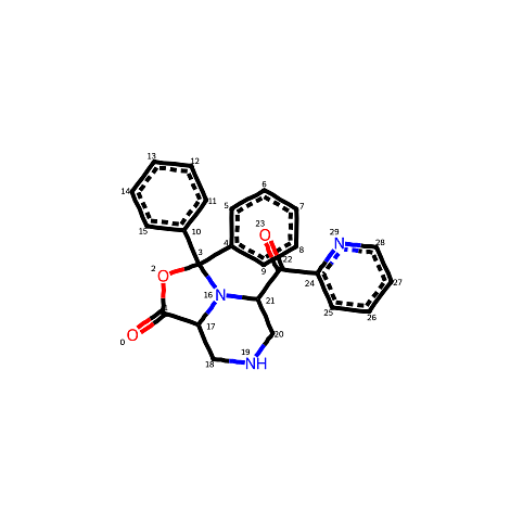 O=C1OC(c2ccccc2)(c2ccccc2)N2C1CNCC2C(=O)c1ccccn1